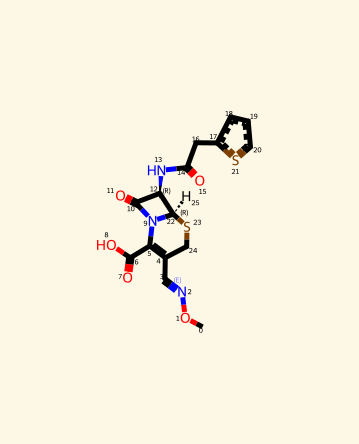 CO/N=C/C1=C(C(=O)O)N2C(=O)[C@@H](NC(=O)Cc3cccs3)[C@H]2SC1